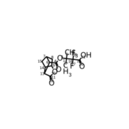 CC(C)(OC(=O)C1C2CC3OC(=O)C1C3C2)C(F)(F)C(=O)O